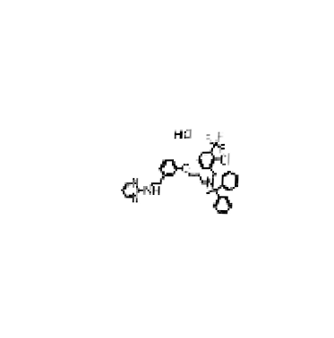 CC(c1ccccc1)(c1ccccc1)N(CCCOc1cccc(CCNc2ncccn2)c1)Cc1cccc(C(F)(F)F)c1Cl.Cl